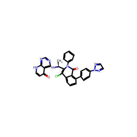 C[C@H](Nc1ncnc2[nH]ccc(=O)c12)c1c(Cl)c2cccc(-c3ccc(-n4nccn4)cc3)c2c(=O)n1-c1ccccc1